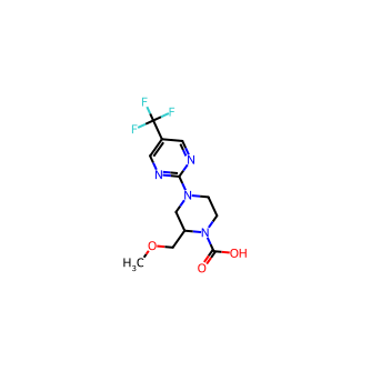 COCC1CN(c2ncc(C(F)(F)F)cn2)CCN1C(=O)O